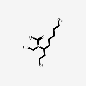 CCCCCCC(CCC)N(CC)C(N)=O